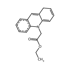 CCOC(=O)CN1C2=CC=CCC2=Cc2ccccc21